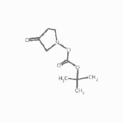 CC(C)(C)OC(=O)ON1CCC(=O)C1